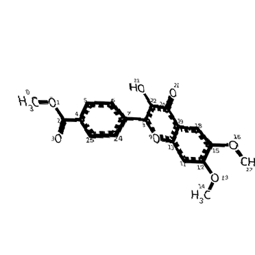 COC(=O)c1ccc(-c2oc3cc(OC)c(OC)cc3c(=O)c2O)cc1